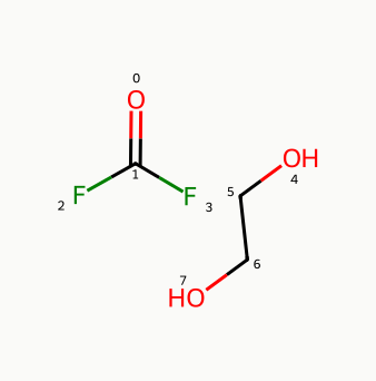 O=C(F)F.OCCO